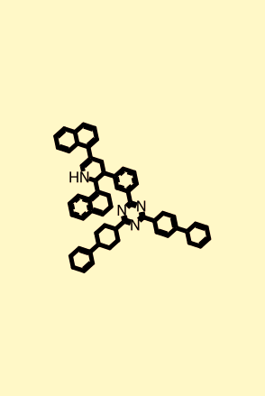 C1=CCC(C2=CCC(c3nc(-c4cccc(C5CC(C6=CC=CC7C=CC=CC67)=CNC5C5=c6ccccc6=CCC5)c4)nc(C4CCC(C5=CCCC=C5)CC4)n3)C=C2)C=C1